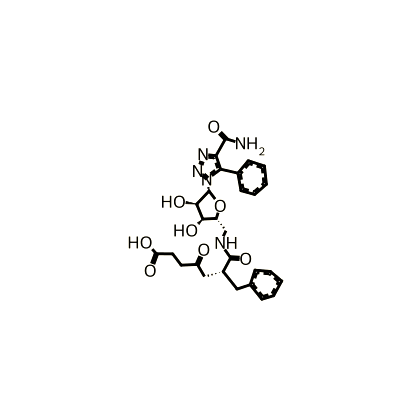 NC(=O)c1nnn([C@@H]2O[C@H](CNC(=O)[C@@H](CC(=O)CCC(=O)O)Cc3ccccc3)[C@@H](O)[C@H]2O)c1-c1ccccc1